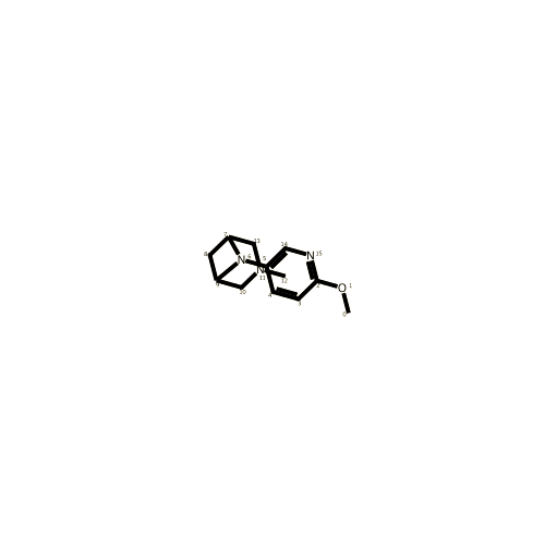 COc1ccc(N2C3CC2CN(C)C3)cn1